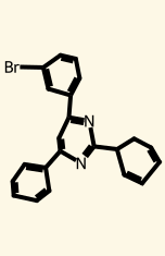 Brc1cccc(-c2cc(-c3ccccc3)nc(C3C=CC=CC3)n2)c1